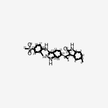 Cc1ccc2c(c1)[C@]1(C[C@H]1c1ccc3c(Nc4ccc(S(C)(=O)=O)cc4C)n[nH]c3c1)C(=O)N2